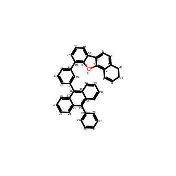 C1=Cc2c(ccc3c2oc2c(-c4cccc(-c5c6ccccc6c(-c6ccccc6)c6ccccc56)c4)cccc23)CC1